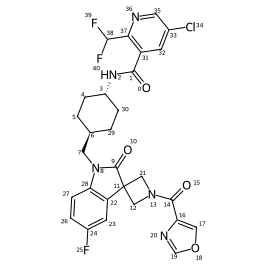 O=C(N[C@H]1CC[C@H](CN2C(=O)C3(CN(C(=O)c4cocn4)C3)c3cc(F)ccc32)CC1)c1cc(Cl)cnc1C(F)F